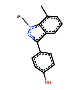 Cc1cccc2c(-c3ccc(O)cc3)nn(C(C)C)c12